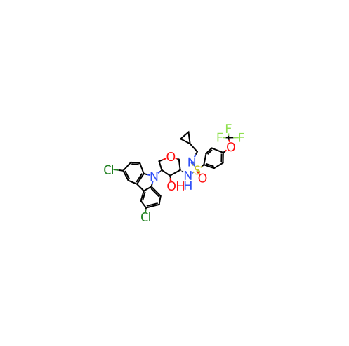 O=S(=NCC1CC1)(N[C@H]1COC[C@H](n2c3ccc(Cl)cc3c3cc(Cl)ccc32)[C@@H]1O)c1ccc(OC(F)(F)F)cc1